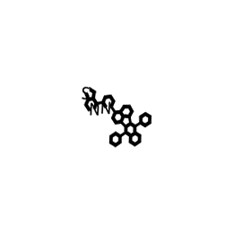 c1ccc(-c2c3c(c(-c4ccccc4)c4ccccc24)-c2ccc(-c4cccc(-c5nccc6sccc56)n4)c4cccc-3c24)cc1